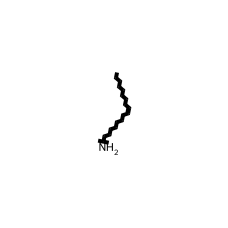 CCCCCCCC/C=C\CCCCCCCC(C)(C)N